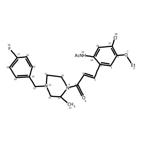 CCOc1cc(C=CC(=O)N2CCN(Cc3ccc(F)cc3)CC2C)c(NC(C)=O)cc1Cl